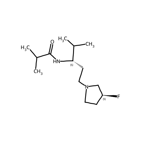 CC(C)C(=O)N[C@@H](CCN1CC[C@H](F)C1)C(C)C